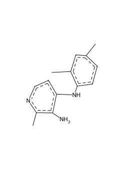 Cc1ccc(Nc2ccnc(C)c2N)c(C)c1